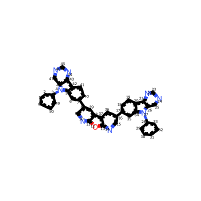 c1ccc(-n2c3cc(-c4cnc5oc6ncc(-c7ccc8c9ncncc9n(-c9ccccc9)c8c7)cc6c5c4)ccc3c3ncncc32)cc1